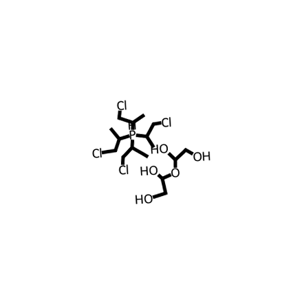 CC(CCl)[PH](C(C)CCl)(C(C)CCl)C(C)CCl.OCC(O)OC(O)CO